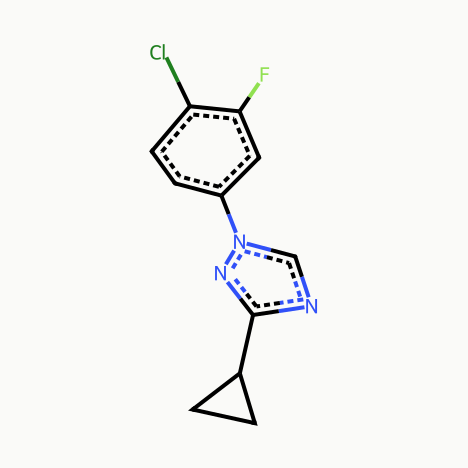 Fc1cc(-n2cnc(C3CC3)n2)ccc1Cl